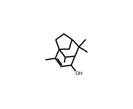 CC1=CC(O)C2C(C)C13CCC(C3)C2(C)C